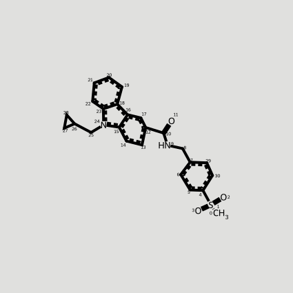 CS(=O)(=O)c1ccc(CNC(=O)c2ccc3c(c2)c2ccccc2n3CC2CC2)cc1